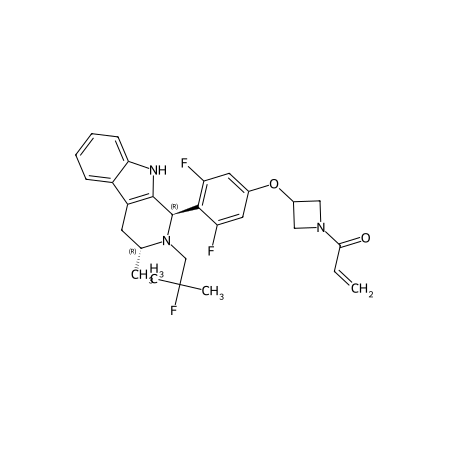 C=CC(=O)N1CC(Oc2cc(F)c([C@@H]3c4[nH]c5ccccc5c4C[C@@H](C)N3CC(C)(C)F)c(F)c2)C1